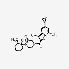 CC1CCCCC1(C)N1CCN(C(=O)c2nn3c(C(F)(F)F)cc(C4CC4)cc3c2Cl)CC1=O